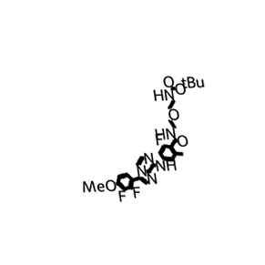 COc1ccc(-c2cnc3c(Nc4cc(C)c(C(=O)NCCOCCNC(=O)OC(C)(C)C)c(F)c4)nccn23)c(F)c1F